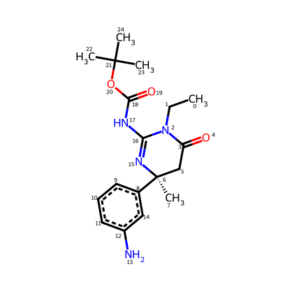 CCN1C(=O)C[C@@](C)(c2cccc(N)c2)N=C1NC(=O)OC(C)(C)C